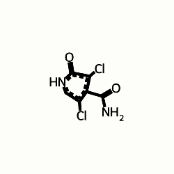 NC(=O)c1c(Cl)c[nH]c(=O)c1Cl